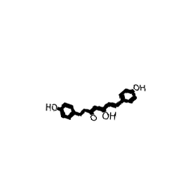 O=C(/C=C(O)/C=C/c1ccc(O)cc1)CCc1ccc(O)cc1